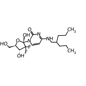 CCCC(CCC)CNc1ccn([C@@]2(O)O[C@H](CO)[C@@H](O)C2(F)F)c(=O)n1